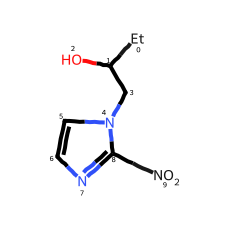 CCC(O)Cn1ccnc1[N+](=O)[O-]